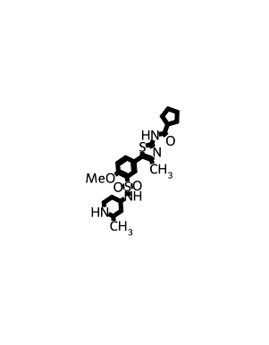 COc1ccc(-c2sc(NC(=O)C3CCCC3)nc2C)cc1S(=O)(=O)NC1CCNC(C)C1